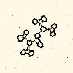 c1ccc2c(c1)c1ccccc1n2-c1cc(-c2ccc3c(c2)c2ccccc2n3-c2cc(-n3c4ccccc4c4ccccc43)cc(-n3c4ccccc4c4ccccc43)c2)cc(-n2c3ccccc3c3ccccc32)c1